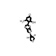 Cc1cc(Cl)cc(O)c1-c1cnc2cn(C3[C@H]4COC[C@@H]34)nc2n1